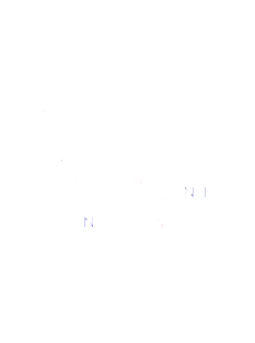 NC(=O)Oc1cncc(OCF)c1